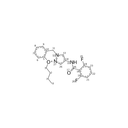 CCCCOc1ccccc1Cn1cc(NC(=O)c2c(F)cccc2F)cn1